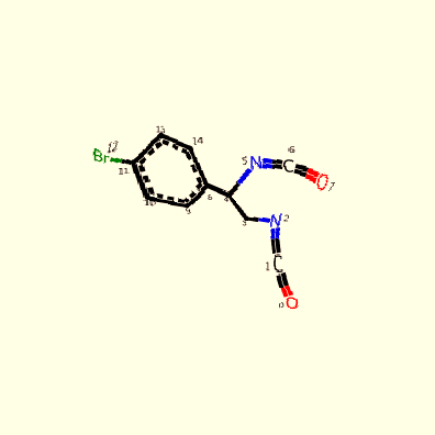 O=C=NCC(N=C=O)c1ccc(Br)cc1